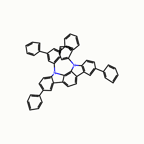 c1ccc(-c2cc(-c3ccccc3)cc(-n3c4ccc(-c5ccccc5)cc4c4ccc5c6cc(-c7ccccc7)ccc6n(-c6ccccc6)c5c43)c2)cc1